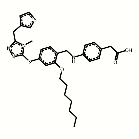 CCCCCCCOc1cc(Sc2nnc(Cc3ccsc3)n2C)ccc1CNc1ccc(CC(=O)O)cc1